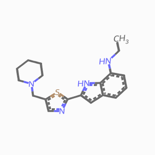 CCNc1cccc2cc(-c3ncc(CN4CCCCC4)s3)[nH]c12